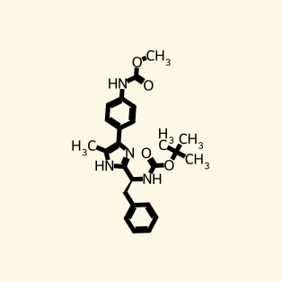 COC(=O)Nc1ccc(-c2nc([C@H](Cc3ccccc3)NC(=O)OC(C)(C)C)[nH]c2C)cc1